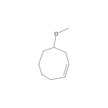 COC1CC=CCCCC1